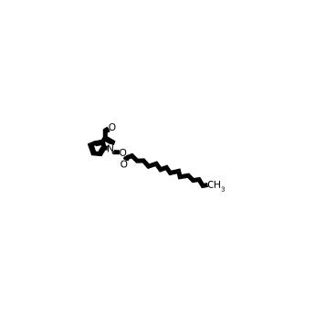 CCCCCCCCCCCCCCCC(=O)OCn1cc(C=O)c2ccccc21